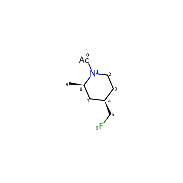 CC(=O)N1CC[C@@H](CF)C[C@H]1C